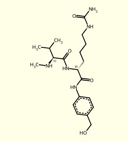 CN[C@H](C(=O)N[C@H](CCCCNC(N)=O)C(=O)Nc1ccc(CO)cc1)C(C)C